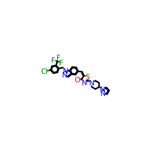 O=C1N=C(N2CCC(n3cccn3)CC2)SC1=Cc1ccc2c(cnn2Cc2ccc(Cl)cc2C(F)(F)F)c1